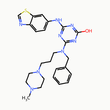 CN1CCN(CCCN(Cc2ccccc2)c2nc(O)nc(Nc3ccc4ncsc4c3)n2)CC1